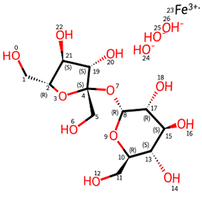 OC[C@H]1O[C@@](CO)(O[C@H]2O[C@H](CO)[C@@H](O)[C@H](O)[C@H]2O)[C@@H](O)[C@@H]1O.[Fe+3].[OH-].[OH-].[OH-]